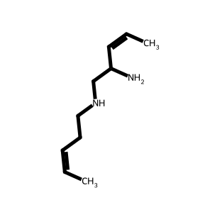 C/C=C\CCNCC(N)/C=C\C